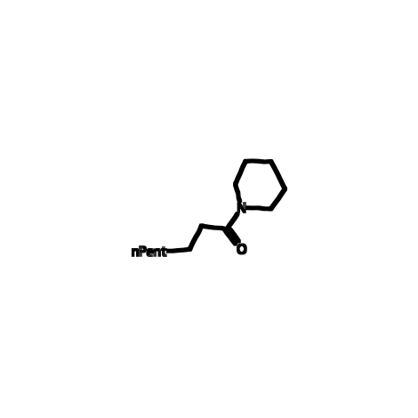 CCCCCCCC(=O)N1CCCCC1